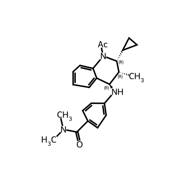 CC(=O)N1c2ccccc2[C@H](Nc2ccc(C(=O)N(C)C)cc2)[C@@H](C)[C@H]1C1CC1